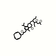 CCCC(CC1CC(=O)c2c(C)c(CC(=O)C/C3=C/C=C\C/C=C\C=C/C3)cc(C(C)C)c2C1)C(CC)C(=O)CC(C)=O